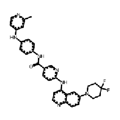 Cc1cc(Nc2ccc(NC(=O)c3ccc(Nc4ccnc5ccc(N6CCC(F)(F)CC6)cc45)nc3)cc2)ccn1